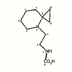 O=C(O)NCCN1CCCCC12CC2